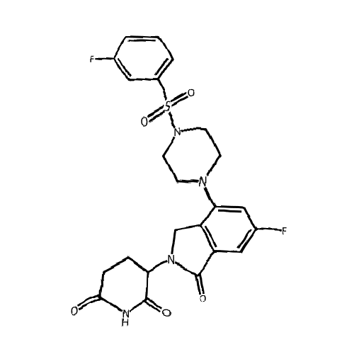 O=C1CCC(N2Cc3c(cc(F)cc3N3CCN(S(=O)(=O)c4cccc(F)c4)CC3)C2=O)C(=O)N1